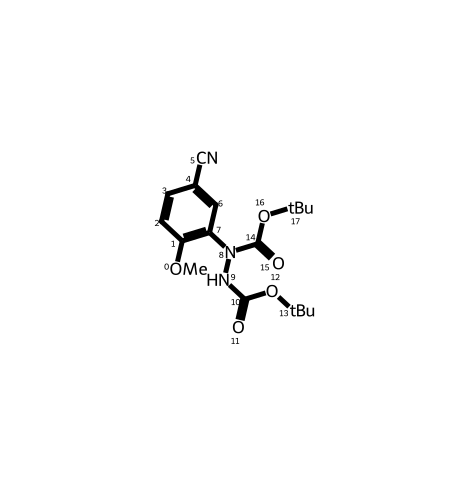 COc1ccc(C#N)cc1N(NC(=O)OC(C)(C)C)C(=O)OC(C)(C)C